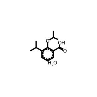 CC(C)Oc1c(C(=O)O)cccc1C(C)C.O